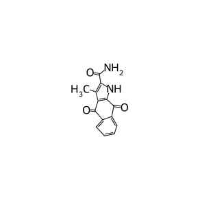 Cc1c(C(N)=O)[nH]c2c1C(=O)c1ccccc1C2=O